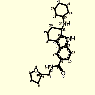 O=C(NC[C@H]1CCCO1)c1ccc2[nH]c3c(c2c1)CCCC3NC1CCCCC1